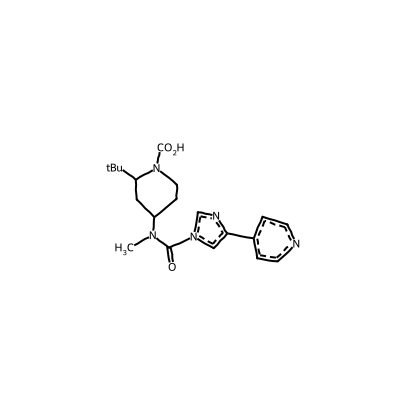 CN(C(=O)n1cnc(-c2ccncc2)c1)C1CCN(C(=O)O)C(C(C)(C)C)C1